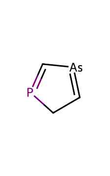 C1=PCC=[As]1